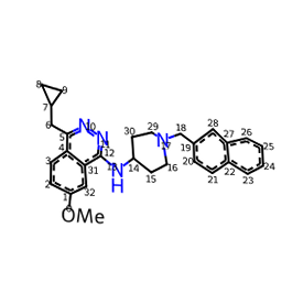 COc1ccc2c(CC3CC3)nnc(NC3CCN(Cc4ccc5ccccc5c4)CC3)c2c1